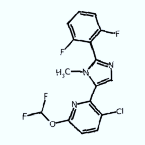 Cn1c(-c2nc(OC(F)F)ccc2Cl)cnc1-c1c(F)cccc1F